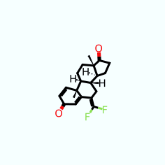 C[C@]12C=CC(=O)C=C1C(=C(F)F)C[C@@H]1[C@@H]2CC[C@]2(C)C(=O)CC[C@@H]12